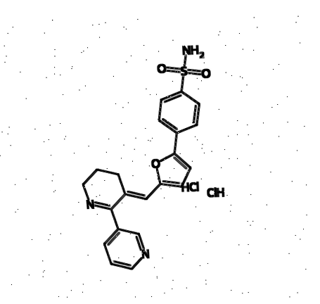 Cl.Cl.NS(=O)(=O)c1ccc(-c2ccc(C=C3CCCN=C3c3cccnc3)o2)cc1